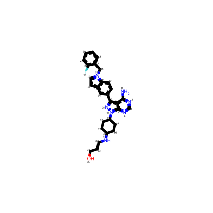 Nc1ncnc2c1c(-c1ccc3c(ccn3Cc3ccccc3F)c1)nn2C1CCC(NCCCO)CC1